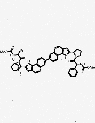 COC(=O)NC(C(=O)N1[C@@H]2CC[C@@H](C2)[C@H]1c1nc2ccc3cc(-c4ccc5c(ccc6nc([C@@H]7CCCN7C(=O)[C@H](NC(=O)OC)c7ccccc7)[nH]c65)c4)ccc3c2[nH]1)C(C)C